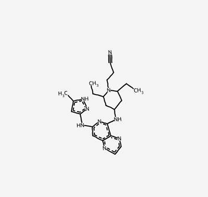 CCC1CC(Nc2nc(Nc3cc(C)[nH]n3)cc3nccnc23)CC(CC)N1CCC#N